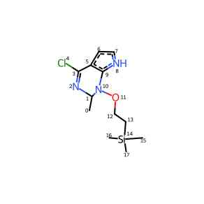 CC1N=C(Cl)c2cc[nH]c2N1OCC[Si](C)(C)C